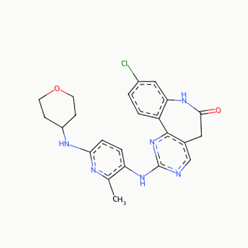 Cc1nc(NC2CCOCC2)ccc1Nc1ncc2c(n1)-c1ccc(Cl)cc1NC(=O)C2